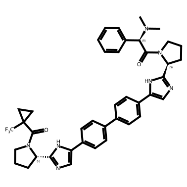 CN(C)[C@@H](C(=O)N1CCC[C@H]1c1ncc(-c2ccc(-c3ccc(-c4cnc([C@@H]5CCCN5C(=O)C5(C(F)(F)F)CC5)[nH]4)cc3)cc2)[nH]1)c1ccccc1